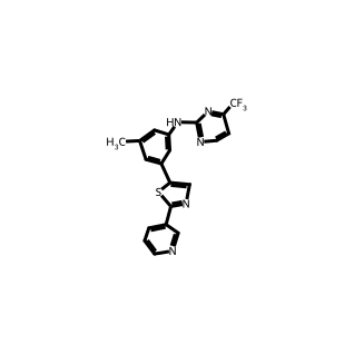 Cc1cc(Nc2nccc(C(F)(F)F)n2)cc(-c2cnc(-c3cccnc3)s2)c1